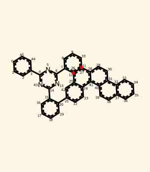 c1ccc(-c2nc(-c3ccccc3)nc(-c3ccccc3-c3ccc4c(ccc5ccc6c7ccccc7ccc6c54)c3)n2)cc1